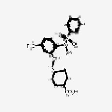 CC(C)N(c1ccc(C(F)(F)F)cc1OC[C@H]1CC[C@H](C(=O)O)CC1)S(=O)(=O)c1ccccc1